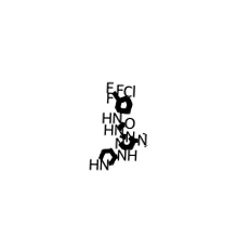 CN(C)c1cc(NC2CCCNC2)nc(NC(=O)Nc2ccc(Cl)c(C(F)(F)F)c2)n1